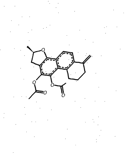 C=C1CCCc2c1ccc1c3c(c(OC(C)=O)c(OC(C)=O)c21)C[C@@H](C)O3